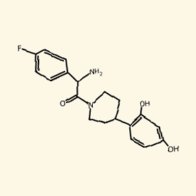 NC(C(=O)N1CCC(c2ccc(O)cc2O)CC1)c1ccc(F)cc1